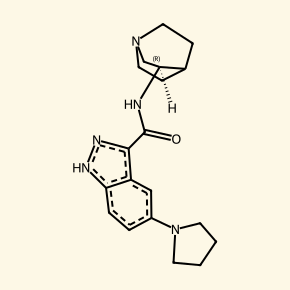 O=C(N[C@H]1CN2CCC1CC2)c1n[nH]c2ccc(N3CCCC3)cc12